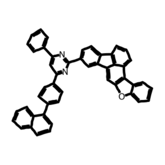 c1ccc(-c2cc(-c3ccc(-c4cccc5ccccc45)cc3)nc(-c3ccc4c(c3)-c3cc5oc6ccccc6c5c5cccc-4c35)n2)cc1